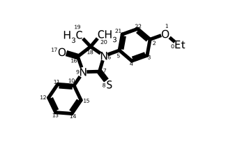 CCOc1ccc(N2C(=S)N(c3ccccc3)C(=O)C2(C)C)cc1